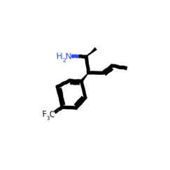 C/C=C/[C@@H](c1ccc(C(F)(F)F)cc1)[C@H](C)N